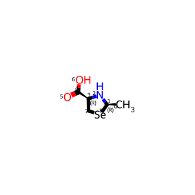 C[C@@H]1N[C@H](C(=O)O)C[Se]1